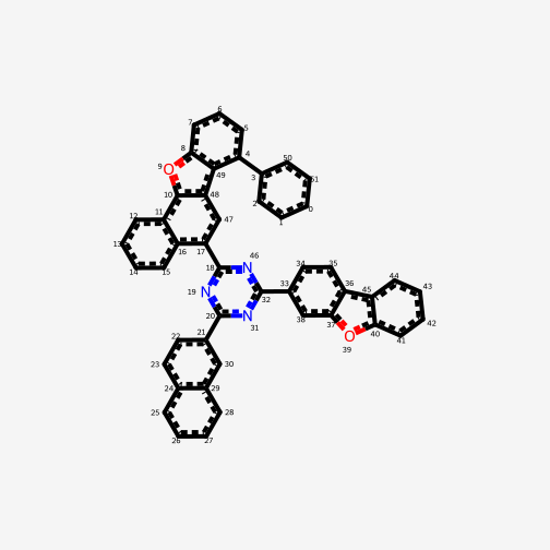 c1ccc(-c2cccc3oc4c5ccccc5c(-c5nc(-c6ccc7ccccc7c6)nc(-c6ccc7c(c6)oc6ccccc67)n5)cc4c23)cc1